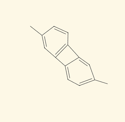 Cc1ccc2c(c1)-c1ccc(C)cc1-2